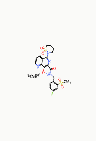 CS(=O)(=O)c1cc(F)ccc1CNC(=O)c1nc(N2CCCCS2([O-])[O-])c2cccnc2c1[O-].[Na+].[Na+].[Na+]